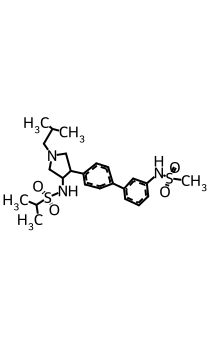 CC(C)CN1CC(NS(=O)(=O)C(C)C)C(c2ccc(-c3cccc(NS(C)(=O)=O)c3)cc2)C1